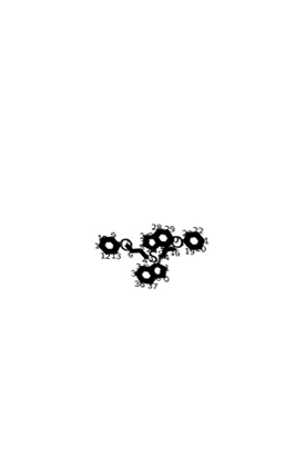 C1=CC([Si](CCCOc2ccccc2)(CCCOc2ccccc2)C2C=Cc3ccccc32)c2ccccc21